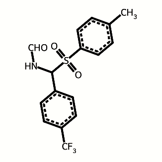 Cc1ccc(S(=O)(=O)C(NC=O)c2ccc(C(F)(F)F)cc2)cc1